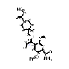 C=Nc1cc(C(N)=O)c(OC(C)C)cc1/C(=C\C)OCC1(F)CCN(C(=O)CC#N)CC1